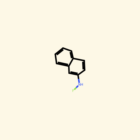 FNc1ccc2ccccc2c1